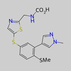 CSc1ccc(Sc2cnc(CNC(=O)O)s2)cc1-c1cnn(C)c1